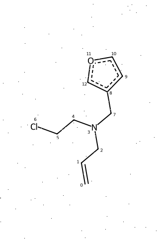 C=CCN(CCCl)Cc1ccoc1